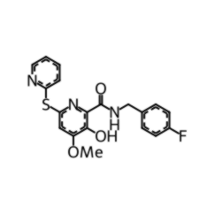 COc1cc(Sc2ccccn2)nc(C(=O)NCc2ccc(F)cc2)c1O